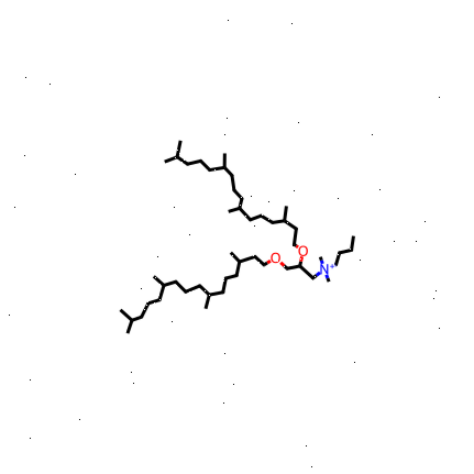 CCCC[N+](C)(C)CC(COCCC(C)CCCC(C)CCCC(C)CCCC(C)C)OCCC(C)CCCC(C)CCCC(C)CCCC(C)C